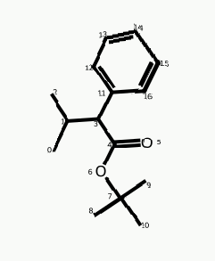 CC(C)C(C(=O)OC(C)(C)C)c1ccccc1